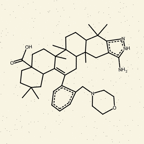 CC1(C)CCC2(C(=O)O)CCC3(C)C(=C(c4ccccc4CN4CCOCC4)CC4C5(C)Cc6c(n[nH]c6N)C(C)(C)C5CCC43C)C2C1